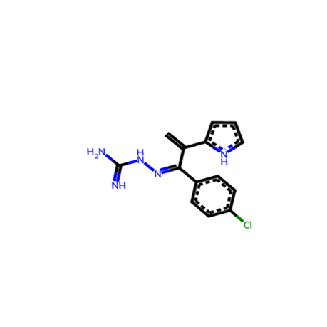 C=C(C(=NNC(=N)N)c1ccc(Cl)cc1)c1ccc[nH]1